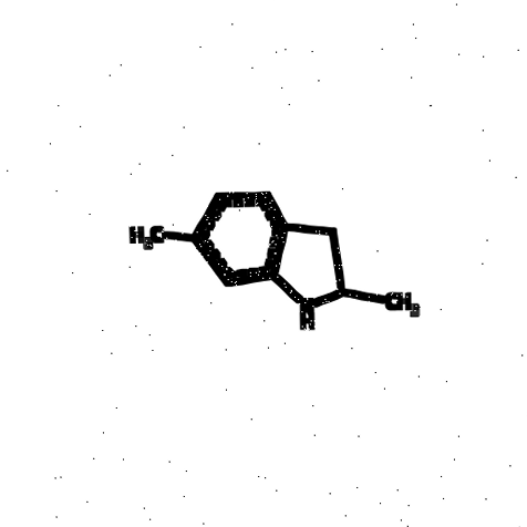 Cc1ccc2c(c1)NC(C)C2